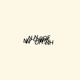 CC1(C)C[C@@H](Oc2ccc(-c3ncc(-c4cn5ccnc5cn4)cc3O)nn2)[C@@H](F)C(C)(C)N1